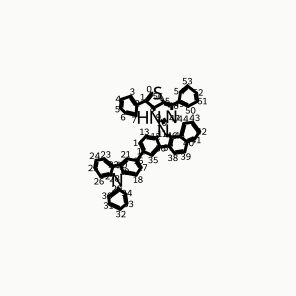 C1=C(c2ccccc2)C2NC(n3c4ccc(-c5ccc6c(c5)c5ccccc5n6-c5ccccc5)cc4c4ccc5ccccc5c43)=NC(c3ccccc3)=C2S1